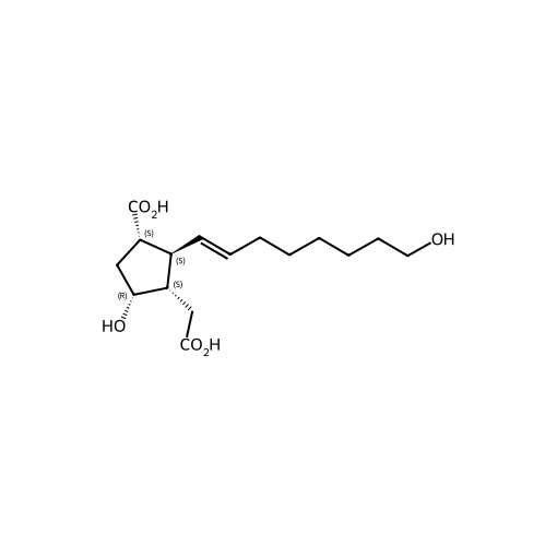 O=C(O)C[C@H]1[C@H](C=CCCCCCCO)[C@@H](C(=O)O)C[C@H]1O